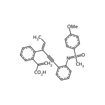 C=C(C(=O)O)c1ccccc1/C(C#Cc1ccccc1N=S(C)(=O)c1ccc(OC)cc1)=C\C